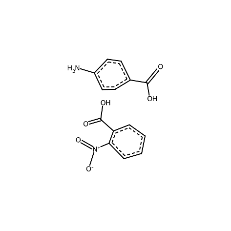 Nc1ccc(C(=O)O)cc1.O=C(O)c1ccccc1[N+](=O)[O-]